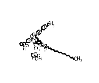 CCCCCCCC/C=C/CCCCCCCC(=O)OCn1cc2cc(CC(NC(=O)N3CCC(c4cc5ccccc5[nH]c4=O)CC3)C(=O)N3CCN(C4CCN(C)CC4)CC3)cc(C)c2n1.O=C(O)C(F)(F)F